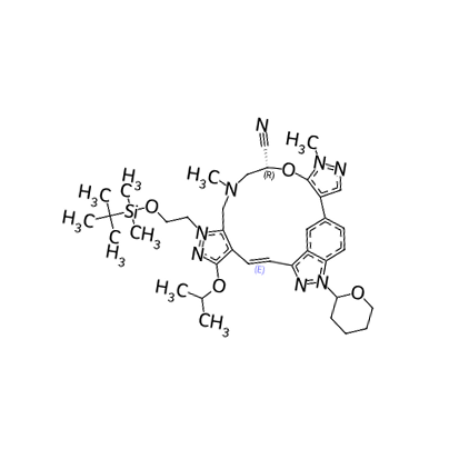 CC(C)Oc1nn(CCO[Si](C)(C)C(C)(C)C)c2c1/C=C/c1nn(C3CCCCO3)c3ccc(cc13)-c1cnn(C)c1O[C@@H](C#N)CN(C)C2